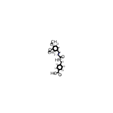 COc1ccc(/C=C/C(=O)NCc2ccc(C(=O)O)cc2)cc1OC